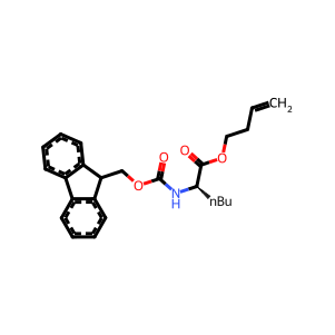 C=CCCOC(=O)[C@@H](CCCC)NC(=O)OCC1c2ccccc2-c2ccccc21